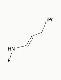 CCCCC=CNF